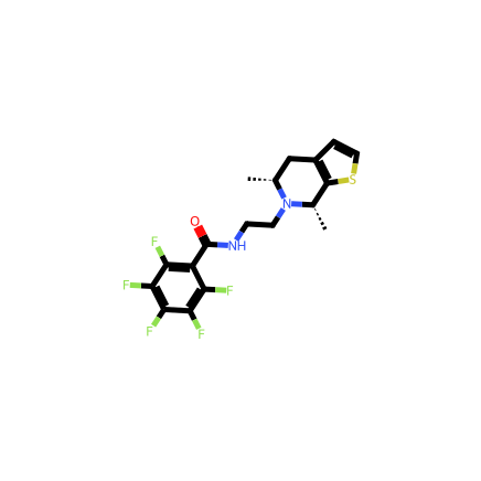 C[C@@H]1Cc2ccsc2[C@H](C)N1CCNC(=O)c1c(F)c(F)c(F)c(F)c1F